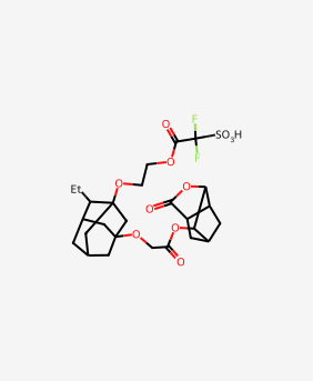 CCC1C2CC3CC(OCC(=O)OC4C5CC6C(=O)OC4C6C5)(C2)CC1(OCCOC(=O)C(F)(F)S(=O)(=O)O)C3